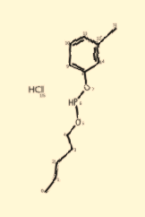 CCCCCOPOc1cccc(C)c1.Cl